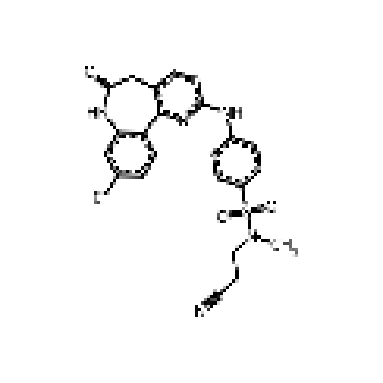 CN(CCC#N)S(=O)(=O)c1ccc(Nc2ncc3c(n2)-c2ccc(Cl)cc2NC(=O)C3)cc1